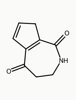 O=C1CCNC(=O)C2=C1C=CC2